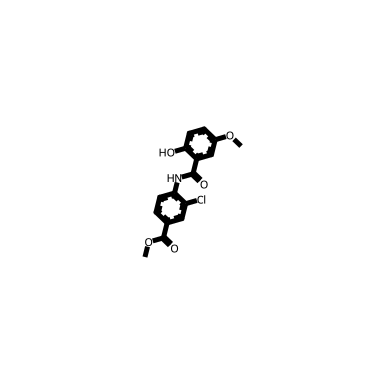 COC(=O)c1ccc(NC(=O)c2cc(OC)ccc2O)c(Cl)c1